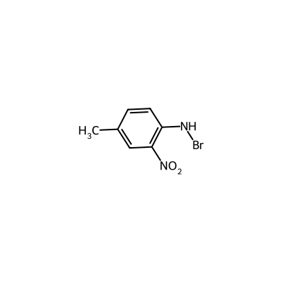 Cc1ccc(NBr)c([N+](=O)[O-])c1